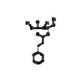 CCOPOC(CCc1ccccc1)OP(=O)(OCC)OCC